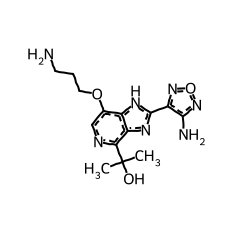 CC(C)(O)c1ncc(OCCCN)c2[nH]c(-c3nonc3N)nc12